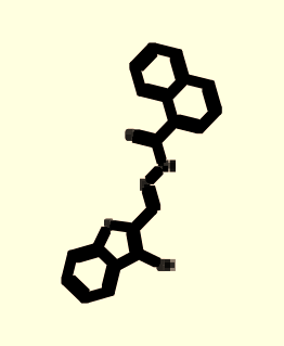 O=C(N/N=C/c1sc2ccccc2c1O)c1cccc2ccccc12